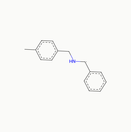 Cc1ccc(CN[CH]c2ccccc2)cc1